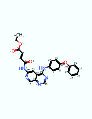 CCOC(=O)C=CC(=O)Nc1cc2c(Nc3ccc(Oc4ccccc4)cc3)ncnc2cn1